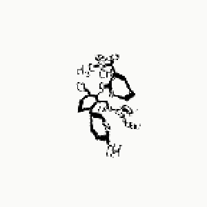 CC(C)(C)[S+]([O-])NCc1c(-c2ccc(O)nc2)ccc(Cl)c1Sc1ncccc1C(=O)[Si](C)(C)C(C)(C)C